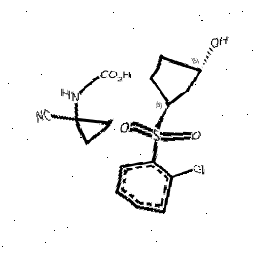 N#CC1(NC(=O)O)CC1.O=S(=O)(c1ccccc1Cl)[C@H]1CC[C@H](O)C1